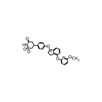 COc1cccc(Oc2cccc3c2CC[C@H]3Oc2ccc(C3CC(=O)NS(=O)(=O)C3)cc2)n1